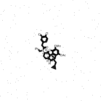 COc1cc(OC(C)=O)c2c3c1O[C@H]1[C@H](N(CC(C)C)C(=O)Cc4ccc(Cl)c(Cl)c4)CC[C@H]4[C@@H](C2)N(CC2CC2)CC[C@@]341